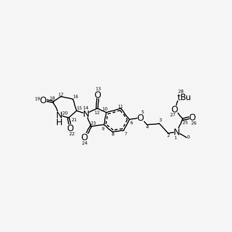 CN(CCCOc1ccc2c(c1)C(=O)N(C1CCC(=O)NC1=O)C2=O)C(=O)OC(C)(C)C